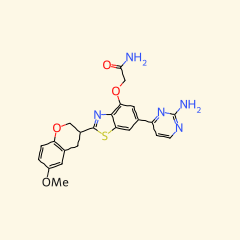 COc1ccc2c(c1)CC(c1nc3c(OCC(N)=O)cc(-c4ccnc(N)n4)cc3s1)CO2